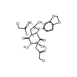 CN1C(=O)[C@@]2(SC(=O)CCl)C[C@](C)(C#N)[C@H](c3ccc4c(c3)OCO4)N2C(=O)[C@]1(C)SC(=O)CCl